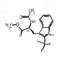 COC(=O)[C@H](Cc1c(C(F)(F)F)[nH]c2ccccc12)NC(C)=O